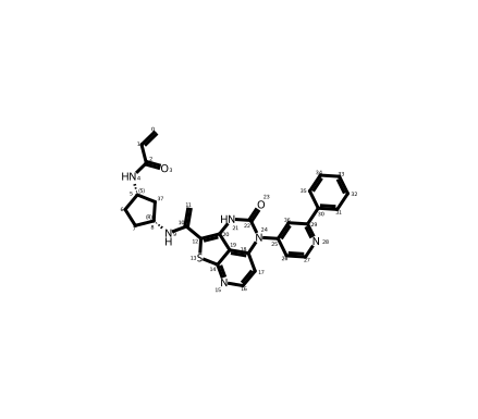 C=CC(=O)N[C@H]1CC[C@@H](NC(=C)c2sc3nccc4c3c2NC(=O)N4c2ccnc(-c3ccccc3)c2)C1